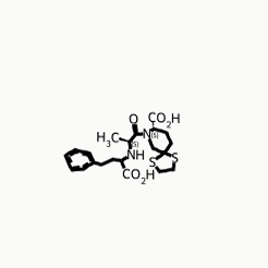 C[C@H](NC(CCc1ccccc1)C(=O)O)C(=O)N1CC2(CC[C@H]1C(=O)O)SCCS2